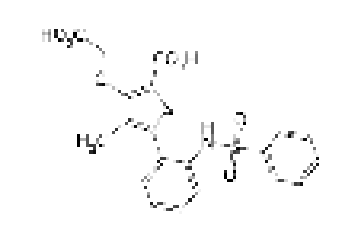 Cc1c(-c2ccccc2NS(=O)(=O)c2ccccc2)sc(C(=O)O)c1OCC(=O)O